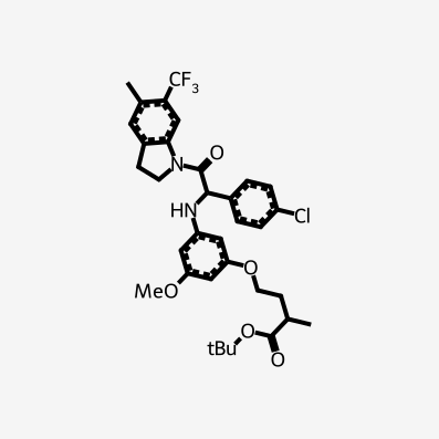 COc1cc(NC(C(=O)N2CCc3cc(C)c(C(F)(F)F)cc32)c2ccc(Cl)cc2)cc(OCCC(C)C(=O)OC(C)(C)C)c1